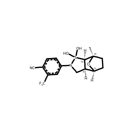 C[C@]12CC[C@H](O1)[C@H]1CN(c3ccc(C#N)c(C(F)(F)F)c3)S(O)(O)[C@H]12